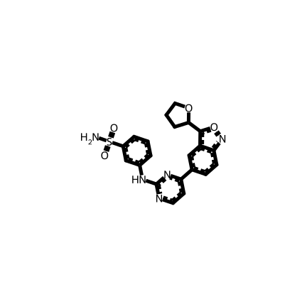 NS(=O)(=O)c1cccc(Nc2nccc(-c3ccc4noc(C5CCCO5)c4c3)n2)c1